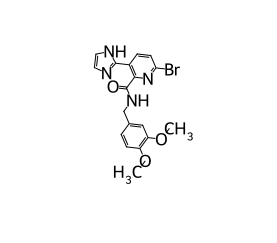 COc1ccc(CNC(=O)c2nc(Br)ccc2-c2ncc[nH]2)cc1OC